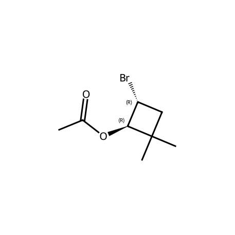 CC(=O)O[C@H]1[C@H](Br)CC1(C)C